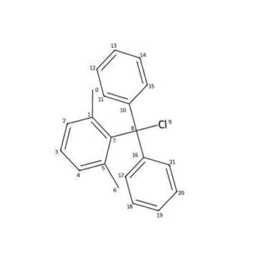 Cc1cccc(C)c1C(Cl)(c1ccccc1)c1ccccc1